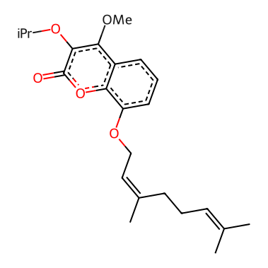 COc1c(OC(C)C)c(=O)oc2c(OCC=C(C)CCC=C(C)C)cccc12